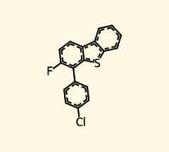 Fc1ccc2c(sc3ccccc32)c1-c1ccc(Cl)cc1